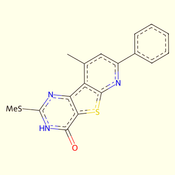 CSc1nc2c(sc3nc(-c4ccccc4)cc(C)c32)c(=O)[nH]1